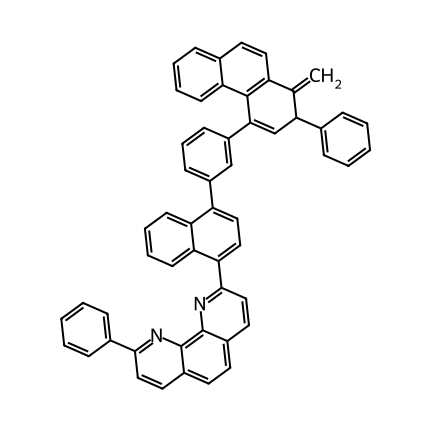 C=C1c2ccc3ccccc3c2C(c2cccc(-c3ccc(-c4ccc5ccc6ccc(-c7ccccc7)nc6c5n4)c4ccccc34)c2)=CC1c1ccccc1